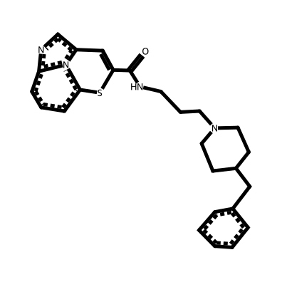 O=C(NCCCN1CCC(Cc2ccccc2)CC1)C1=Cc2cnc3cccc(n23)S1